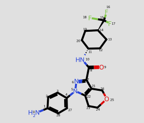 Nc1ccc(-n2nc(C(=O)N[C@H]3CC[C@H](C(F)(F)F)CC3)c3c2CCOC3)cc1